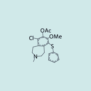 COc1c(OC(C)=O)c(Cl)c2c(c1Sc1ccccc1)CCN(C)CC2